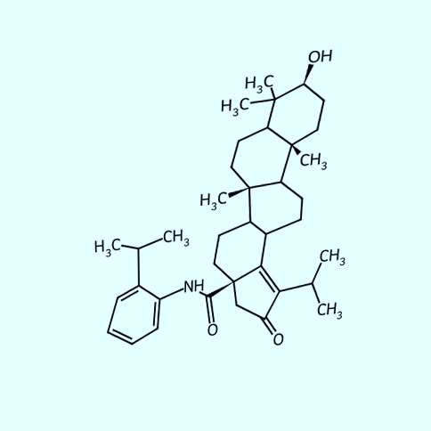 CC(C)C1=C2C3CCC4[C@@](C)(CCC5C(C)(C)[C@@H](O)CC[C@@]54C)C3CC[C@@]2(C(=O)Nc2ccccc2C(C)C)CC1=O